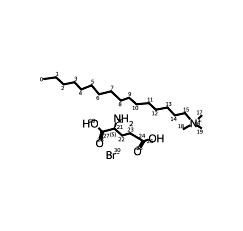 CCCCCCCCCCCCCCCC[N+](C)(C)C.N[C@@H](CCC(=O)O)C(=O)O.[Br-]